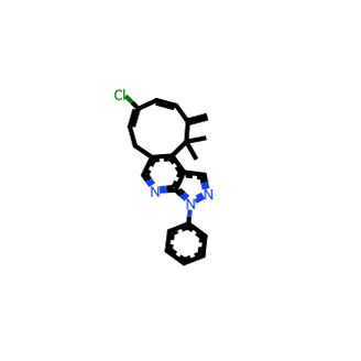 C=C1/C=C\C(Cl)=C/Cc2cnc3c(cnn3-c3ccccc3)c2C1(C)C